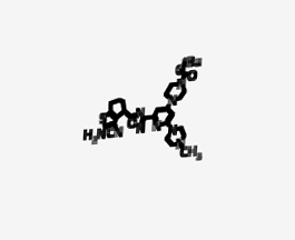 CN1CCN(c2cc(N3CCN(C(=O)OC(C)(C)C)CC3)cc(-c3noc(C4CCCc5sc(N)c(C#N)c54)n3)n2)CC1